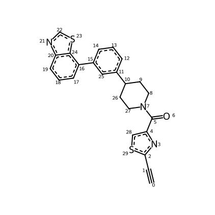 C#Cc1nc(C(=O)N2CCC(c3cccc(-c4cccc5ncsc45)c3)CC2)cs1